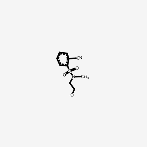 CN(CC[O])S(=O)(=O)c1ccccc1C#N